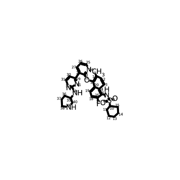 Cc1ccc2c(NS(=O)(=O)C3CCCCC3)c(F)ccc2c1Oc1ncccc1-c1ccnc(NC2CCCNC2)n1